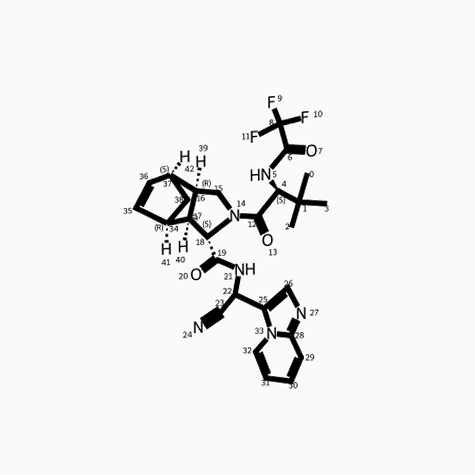 CC(C)(C)[C@H](NC(=O)C(F)(F)F)C(=O)N1C[C@H]2[C@@H]([C@H]1C(=O)NC(C#N)c1cnc3ccccn13)[C@H]1C=C[C@@H]2C1